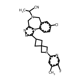 Cc1cc(N2CC3(CC(c4nnc5n4-c4ccc(Cl)cc4CN(C(C)C#N)C5)C3)C2)ncc1F